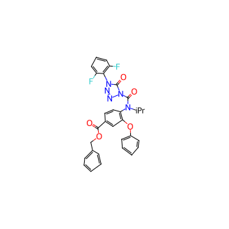 CC(C)N(C(=O)n1nnn(-c2c(F)cccc2F)c1=O)c1ccc(C(=O)OCc2ccccc2)cc1Oc1ccccc1